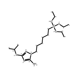 CCO[Si](CCCCCCn1nc(SC(C)C)nc1N)(OCC)OCC